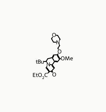 CCOC(=O)c1cn2c(cc1=O)-c1cc(OC)c(OCCN3CCOCC3)cc1CC2C(C)(C)C